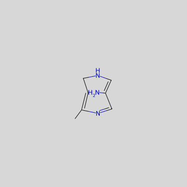 CC1=C\CN/C=C(N)/C=N\1